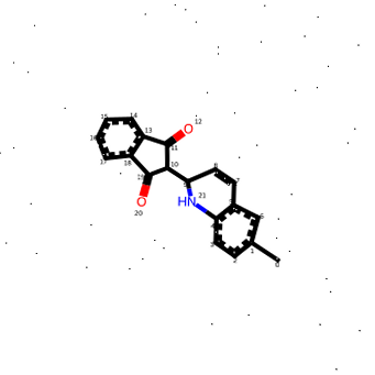 Cc1ccc2c(c1)C=CC(C1C(=O)c3ccccc3C1=O)N2